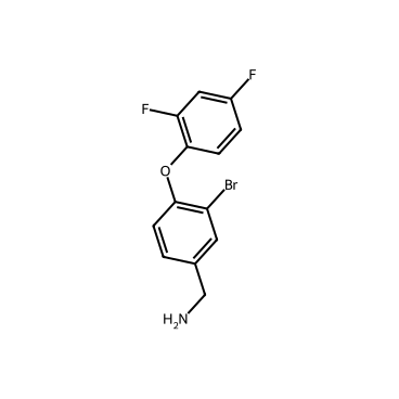 NCc1ccc(Oc2ccc(F)cc2F)c(Br)c1